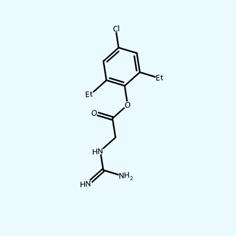 CCc1cc(Cl)cc(CC)c1OC(=O)CNC(=N)N